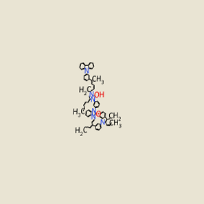 C=C/C=C(\C=C\n1c(=O)n(-c2cccc(N3/C(=C/C=C\CC)CN(C(=C)/C=C\C=C(/C)c4cccc(-n5c6ccccc6c6ccccc65)c4)C3O)c2)c2ccccc21)c1cccc(-n2c(/C=C\C)c(C=C)c3ccccc32)c1